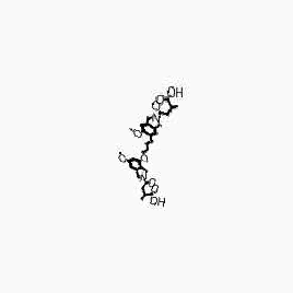 COc1cc2c(c(OCCCCc3cc4c(cc3OC)CN(C(=O)CC(C)C(=O)O)C4)c1)CN(C(=O)CC(C)C(=O)O)C2